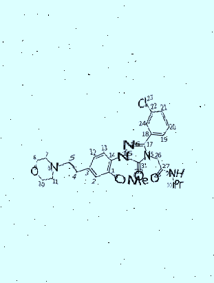 COc1cc(CCN2CCOCC2)ccc1-n1nc(-c2cccc(Cl)c2)n(CC(=O)NC(C)C)c1=O